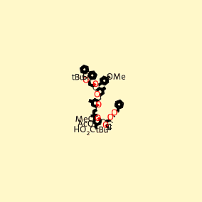 C=C1C[C@H](C[C@@H]2CC(=C)C[C@H](/C=C/C(C)(C)[C@]3(OC)O[C@H](C[C@@H](O[Si](C)(C)C(C)(C)C)[C@@H](C)OCOCc4ccccc4)CC(=CC(=O)O)[C@@H]3OC(C)=O)O2)O[C@H](C[C@H](CCO[Si](c2ccccc2)(c2ccccc2)C(C)(C)C)OCc2ccc(OC)cc2)C1